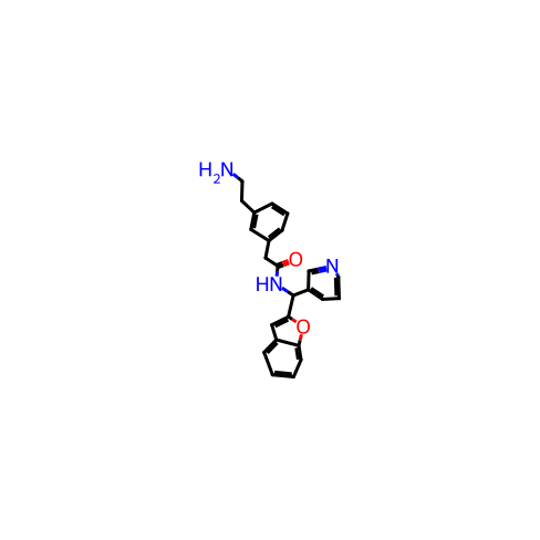 NCCc1cccc(CC(=O)NC(c2cccnc2)c2cc3ccccc3o2)c1